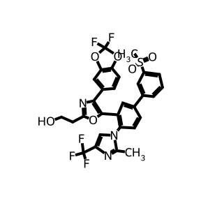 Cc1nc(C(F)(F)F)cn1-c1ccc(-c2cccc(S(C)(=O)=O)c2)cc1-c1oc(CCO)nc1-c1ccc2c(c1)OC(F)(F)O2